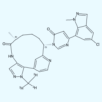 [2H]C([2H])([2H])n1ncc2c1-c1ccnc(c1)[C@@H](n1cnc(-c3cc(Cl)cc4cnn(C)c34)cc1=O)CCC[C@@H](C)C(=O)N2